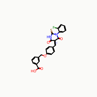 O=C1NC(=S)N(c2ccccc2F)C(=O)/C1=C/c1ccc(OCc2cccc(C(=O)O)c2)cc1